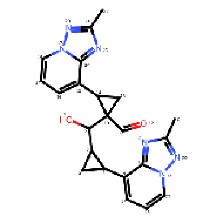 Cc1nc2c(C3CC3C(O)C3(C=O)CC3c3cccn4nc(C)nc34)cccn2n1